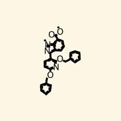 COC(=O)c1cccc2c(-c3ccc(OCc4ccccc4)nc3OCc3ccccc3)nn(C)c12